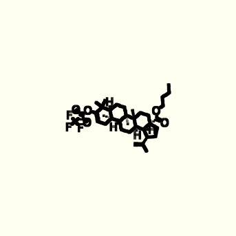 C=C(C)[C@@H]1CC[C@]2(C(=O)OCCCC)CC[C@]3(C)[C@H](CC[C@@H]4[C@@]5(C)CC=C(OS(=O)(=O)C(F)(F)F)C(C)(C)[C@@H]5CC[C@]43C)[C@@H]12